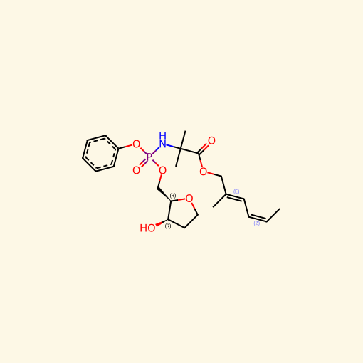 C/C=C\C=C(/C)COC(=O)C(C)(C)NP(=O)(OC[C@H]1OCC[C@H]1O)Oc1ccccc1